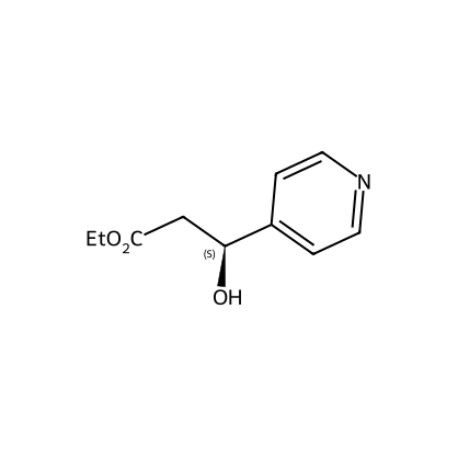 CCOC(=O)C[C@H](O)c1ccncc1